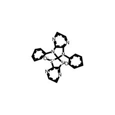 [O-][S+]1c2nccnc2[S+]([O-])C12N(c1ccccc1)c1nccnc1N2c1ccccc1